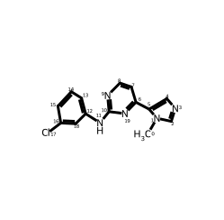 Cn1cncc1-c1ccnc(Nc2cccc(Cl)c2)n1